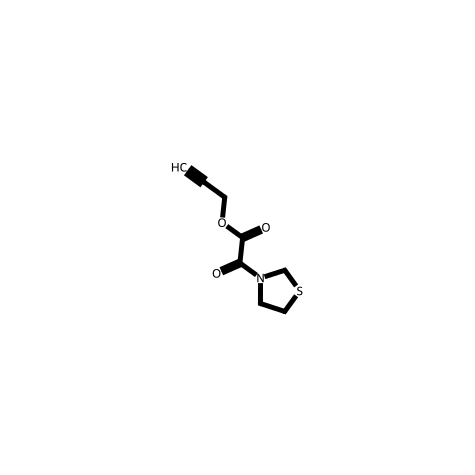 C#CCOC(=O)C(=O)N1CCSC1